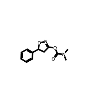 CN(C)C(=O)OC1=NOC(c2ccccc2)C1